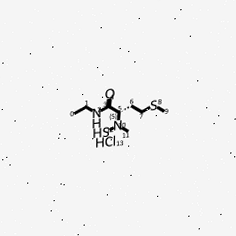 CCNC(=O)[C@H](CCSC)N(C)S.Cl